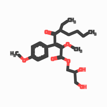 CCCCC(CC)C(=O)C(=C(OC)C(=O)OCC(O)CO)c1ccc(OC)cc1